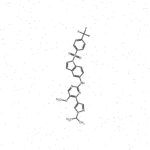 COc1cnc(Nc2ccc3c(ccn3S(=O)(=O)c3ccc(C(F)(F)F)cc3)c2)nc1-c1cnn(C(C)C)c1